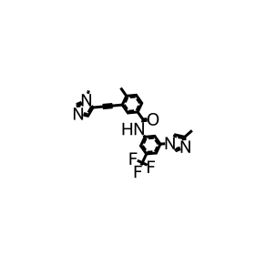 Cc1cn(-c2cc(NC(=O)c3ccc(C)c(C#Cc4cncn4C)c3)cc(C(F)(F)F)c2)cn1